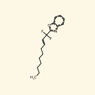 CCCCCCC/C=C/C(F)(F)c1nc2ccccc2o1